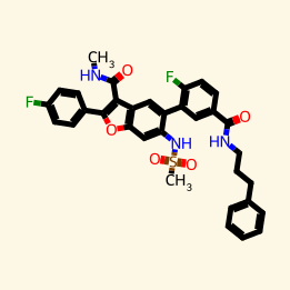 CNC(=O)c1c(-c2ccc(F)cc2)oc2cc(NS(C)(=O)=O)c(-c3cc(C(=O)NCCCc4ccccc4)ccc3F)cc12